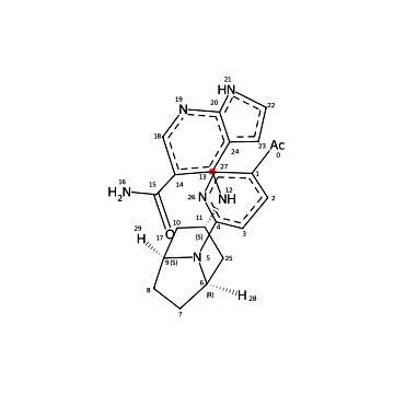 CC(=O)c1ccc(N2[C@@H]3CC[C@H]2C[C@H](Nc2c(C(N)=O)cnc4[nH]ccc24)C3)nc1